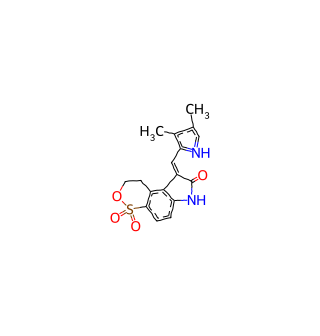 Cc1c[nH]c(/C=C2\C(=O)Nc3ccc4c(c32)CCOS4(=O)=O)c1C